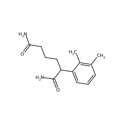 Cc1cccc(C(CCCC(N)=O)C(N)=O)c1C